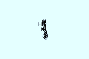 CCOC(=O)ON1CCN(c2ccn3c(-c4cccc(Nc5nncs5)c4)cnc3c2)CC1